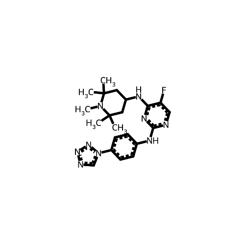 CN1C(C)(C)CC(Nc2nc(Nc3ccc(-n4cnnn4)cc3)ncc2F)CC1(C)C